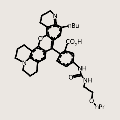 CCCCc1cc2c(c3c1=NCCC3)Oc1c(cc3c4c1CCCN4CCC3)C=2c1ccc(NC(=O)NCCOCCC)cc1C(=O)O